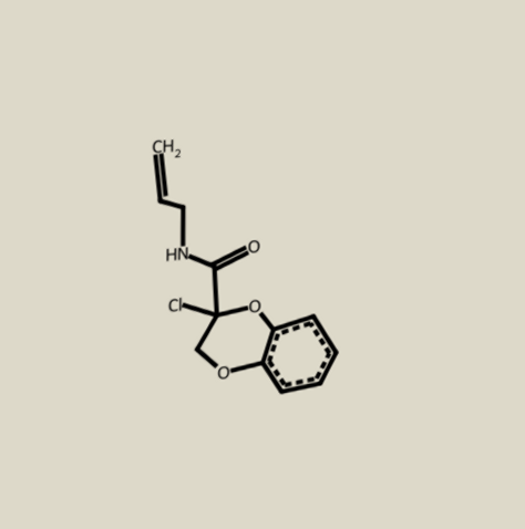 C=CCNC(=O)C1(Cl)COc2ccccc2O1